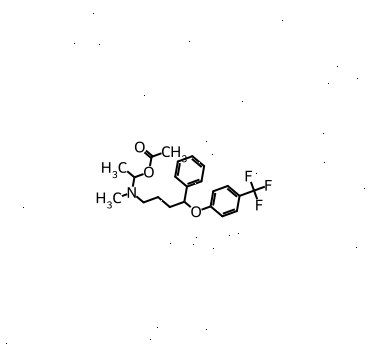 CC(=O)OC(C)N(C)CCCC(Oc1ccc(C(F)(F)F)cc1)c1ccccc1